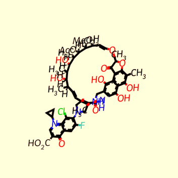 CO[C@H]1/C=C/O[C@@]2(C)Oc3c(C)c(O)c4c(O)c(c(CNC5CCN(c6c(F)cc7c(=O)c(C(=O)O)cn(C8CC8)c7c6Cl)C5)c(O)c4c3C2=O)NC(=O)/C(C)=C\C=C\[C@H](C)[C@H](O)[C@@H](C)[C@@H](O)[C@@H](C)[C@H](OC(C)=O)[C@@H]1C